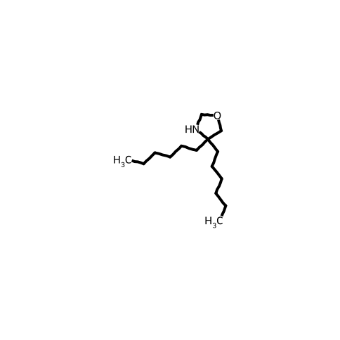 CCCCCCC1(CCCCCC)COCN1